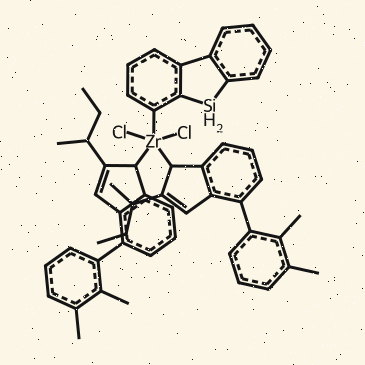 CCC(C)C1=Cc2c(-c3cccc(C)c3C)cccc2[CH]1[Zr]([Cl])([Cl])([c]1cccc2c1[SiH2]c1ccccc1-2)[CH]1C(C(C)CC)=Cc2c(-c3cccc(C)c3C)cccc21